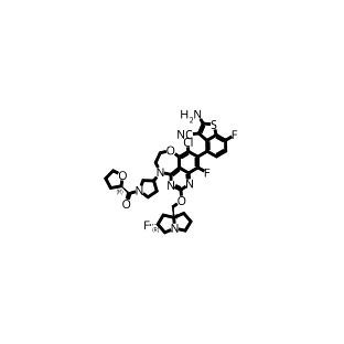 N#Cc1c(N)sc2c(F)ccc(-c3c(Cl)c4c5c(nc(OC[C@@]67CCCN6C[C@H](F)C7)nc5c3F)N(C3CCN(C(=O)[C@H]5CCCO5)C3)CCO4)c12